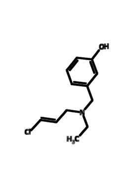 CCN(C/C=C/Cl)Cc1cccc(O)c1